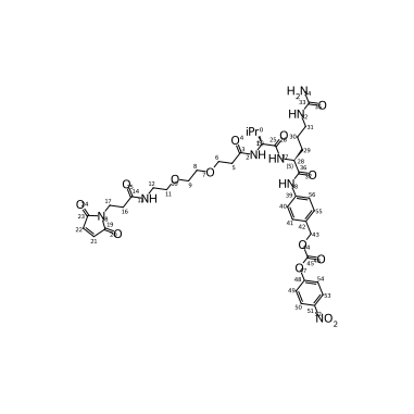 CC(C)[C@H](NC(=O)CCOCCOCCNC(=O)CCN1C(=O)C=CC1=O)C(=O)N[C@@H](CCCNC(N)=O)C(=O)Nc1ccc(COC(=O)Oc2ccc([N+](=O)[O-])cc2)cc1